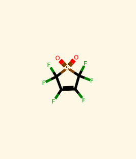 O=S1(=O)C(F)(F)C(F)=C(F)C1(F)F